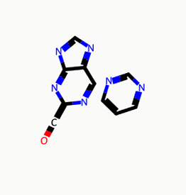 O=C=c1ncc2c(n1)N=CN=2.c1cncnc1